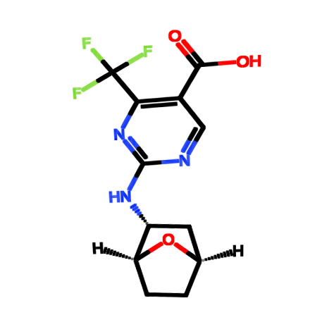 O=C(O)c1cnc(N[C@@H]2C[C@H]3CC[C@@H]2O3)nc1C(F)(F)F